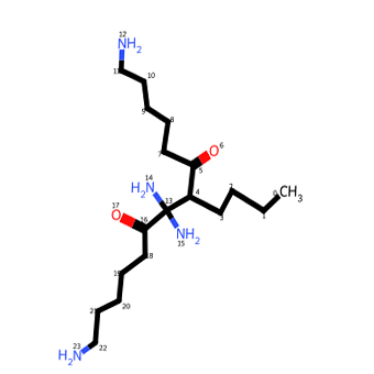 CCCCC(C(=O)CCCCCN)C(N)(N)C(=O)CCCCCN